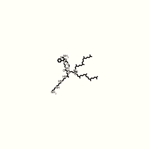 C=C(CC[C@H](NCCCP(=O)(OCCC(C)CCCC(C)CCCC(C)CCCC(C)C)OCCC(C)CCCC(C)CCCC(C)CCCC(C)C)C(=O)NCCCn1c(COCC)nc2c(N)nc3ccccc3c21)NCCCNCCCCNCCCN